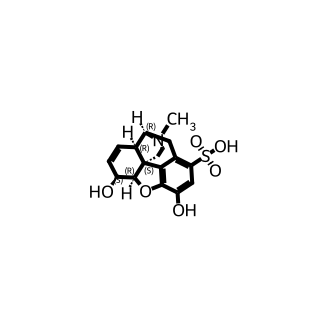 CN1CC[C@]23c4c5c(S(=O)(=O)O)cc(O)c4O[C@H]2[C@@H](O)C=C[C@H]3[C@H]1C5